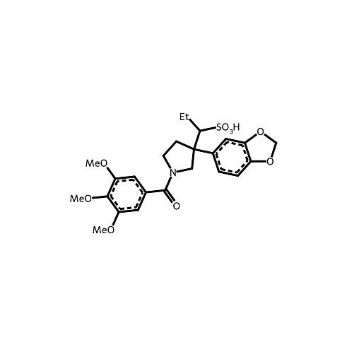 CCC(C1(c2ccc3c(c2)OCO3)CCN(C(=O)c2cc(OC)c(OC)c(OC)c2)C1)S(=O)(=O)O